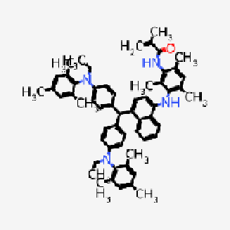 C=C(C)C(=O)Nc1c(C)cc(C)c(Nc2ccc(C(c3ccc(N(CC)c4c(C)cc(C)cc4C)cc3)c3ccc(N(CC)c4c(C)cc(C)cc4C)cc3)c3ccccc23)c1C